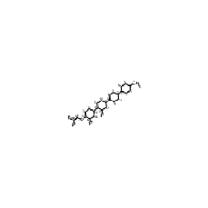 CC1CCC(C2CCC(C3CCC(C4CCC(OC=C(F)F)C(F)C4)C(F)C3)CC2)CC1